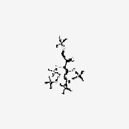 C[Si](C)(C)OCC(=O)[C@@H](O[Si](C)(C)C)[C@H](O[Si](C)(C)C)[C@@H](CO[Si](C)(C)C)O[Si](C)(C)C